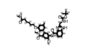 COc1cc(C(=O)N(C)c2ccc(C)cc2OCCCCCC(=O)N(C)C)ccc1NC(=O)c1cccc2[nH]c(CNC(=O)OC(C)(C)C)nc12